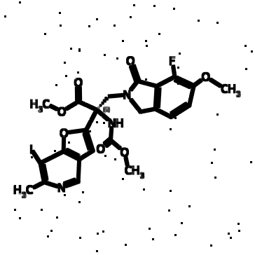 COC(=O)N[C@](CN1Cc2ccc(OC)c(F)c2C1=O)(C(=O)OC)c1cc2cnc(C)c(I)c2o1